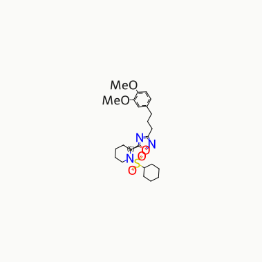 COc1ccc(CCCc2noc([C@@H]3CCCCN3S(=O)(=O)C3CCCCC3)n2)cc1OC